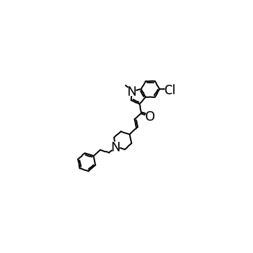 Cn1cc(C(=O)C=CC2CCN(CCc3ccccc3)CC2)c2cc(Cl)ccc21